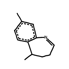 Cc1ccc2c(c1)N=CCCC2C